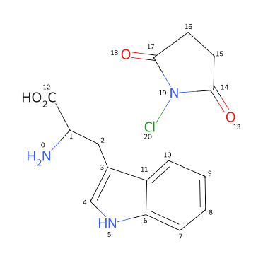 NC(Cc1c[nH]c2ccccc12)C(=O)O.O=C1CCC(=O)N1Cl